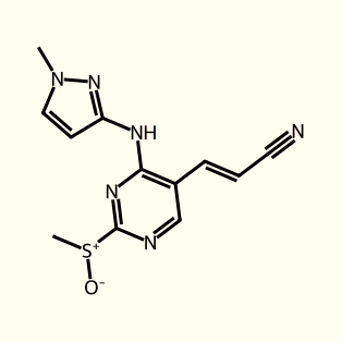 Cn1ccc(Nc2nc([S+](C)[O-])ncc2C=CC#N)n1